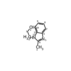 CCO.Cc1nc2ccccc2[nH]1